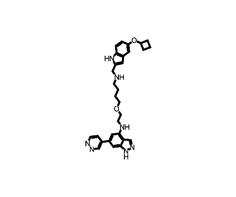 c1cc(-c2cc(NCCOCCCCNCc3cc4cc(OC5CCC5)ccc4[nH]3)c3cn[nH]c3c2)cnn1